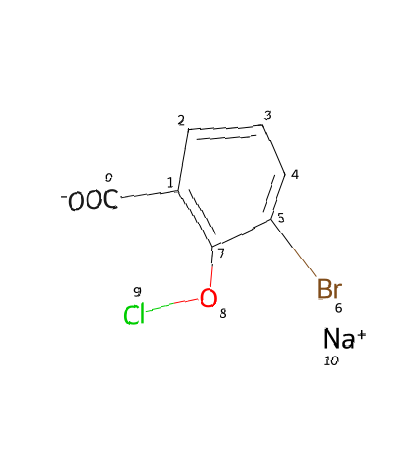 O=C([O-])c1cccc(Br)c1OCl.[Na+]